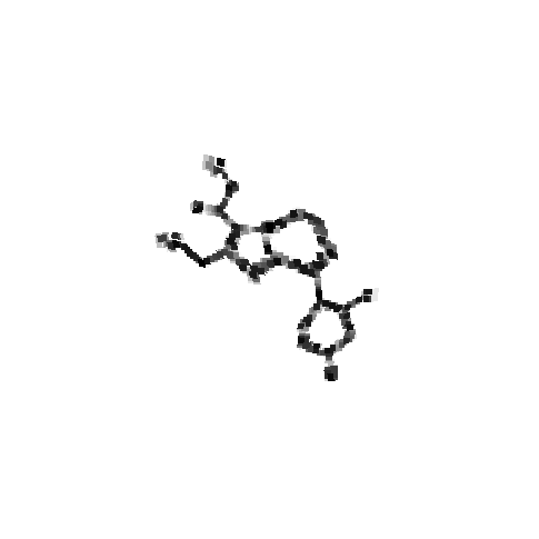 CCc1nc2c(-c3ccc(Cl)cc3Cl)nccn2c1C(=O)OC